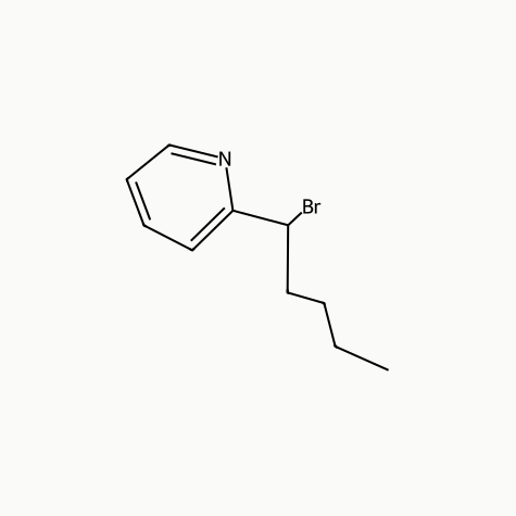 CCCCC(Br)c1ccccn1